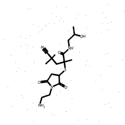 CC(O)CNC(=O)C(C)(CC(C)(C)C#N)SC1CC(=O)N(CCN)C1=O